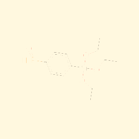 CCO[Si](OCC)(OCC)c1ccc([PH2]=O)cc1